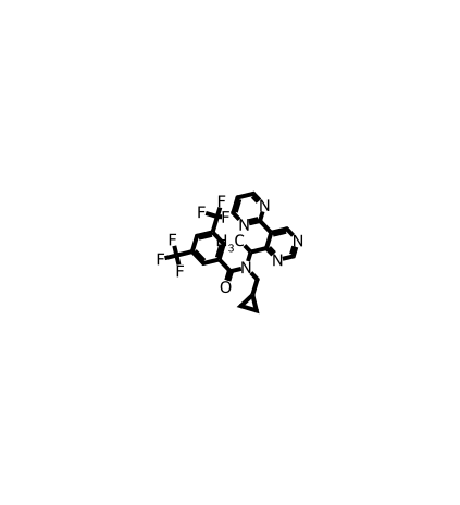 CC(c1ncncc1-c1ncccn1)N(CC1CC1)C(=O)c1cc(C(F)(F)F)cc(C(F)(F)F)c1